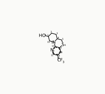 OC1CCC2CSc3cc(C(F)(F)F)cnc3N2C1